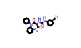 CN1C(=O)C(NC(=O)Nc2cccc(C#N)c2)C(=O)N(c2ccccc2)c2ccccc21